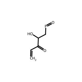 C=CC(=O)C(O)CP=O